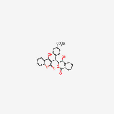 CCOC(=O)c1ccc(C(c2oc(=O)c3ccccc3c2O)c2c(O)c3ccccc3oc2=O)cc1